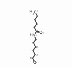 CCCCCC(=O)NCCCCCC[O]